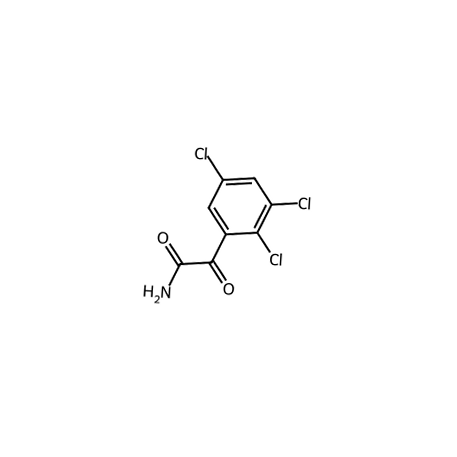 NC(=O)C(=O)c1cc(Cl)cc(Cl)c1Cl